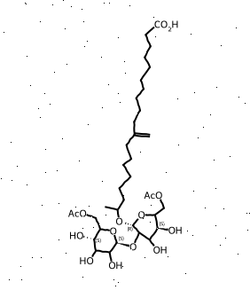 C=C(CCCCCCCCCC(=O)O)CCCCCCC(C)O[C@@H]1OC(COC(C)=O)[C@@H](O)C(O)C1O[C@@H]1OC(COC(C)=O)[C@@H](O)C(O)C1O